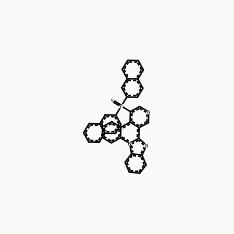 S=P(c1ccc2ccccc2c1)(c1ccc2ccccc2c1)c1cncc2c1c1ccccc1n1c3ccccc3nc21